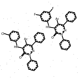 CC(=O)c1c(-c2ccccc2)nn(-c2ccccc2)c(=O)c1Nc1cc(F)cc(F)c1.CC(=O)c1c(-c2ccccc2)nn(-c2ccccc2)c(=O)c1Nc1cccc(Cl)c1